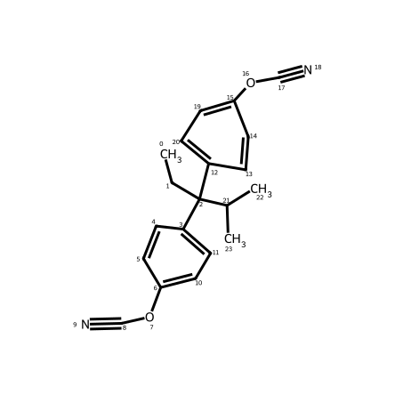 CCC(c1ccc(OC#N)cc1)(c1ccc(OC#N)cc1)C(C)C